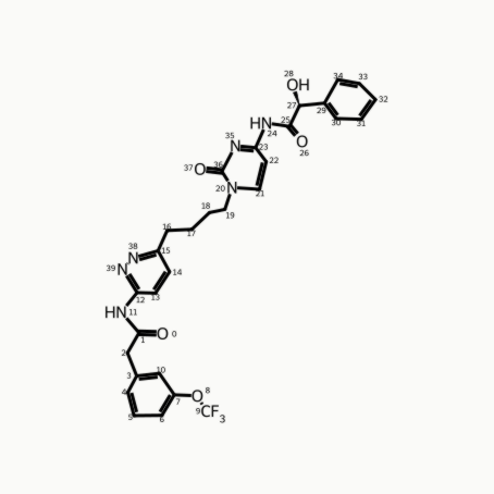 O=C(Cc1cccc(OC(F)(F)F)c1)Nc1ccc(CCCCn2ccc(NC(=O)[C@@H](O)c3ccccc3)nc2=O)nn1